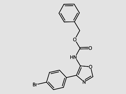 O=C(Nc1ocnc1-c1ccc(Br)cc1)OCc1ccccc1